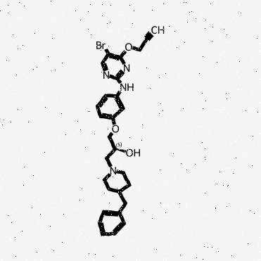 C#CCOc1nc(Nc2cccc(OC[C@@H](O)CN3CCC(Cc4ccccc4)CC3)c2)ncc1Br